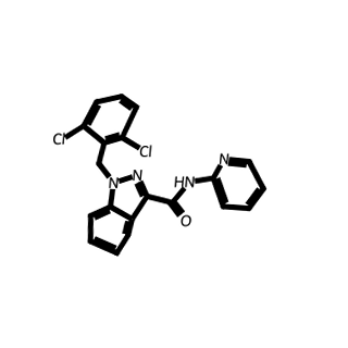 O=C(Nc1ccccn1)c1nn(Cc2c(Cl)cccc2Cl)c2ccccc12